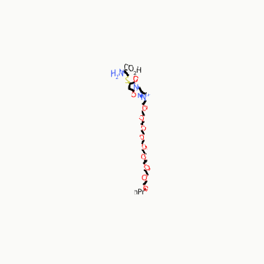 CCCOCCOCCOCCOCCOCCOCCOCCOCCOCC[N+]1=NC(CN2C(=O)CC(SCC(N)C(=O)O)C2=O)=C1